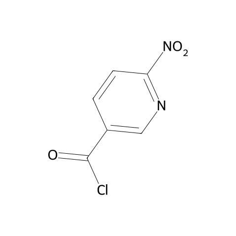 O=C(Cl)c1ccc([N+](=O)[O-])nc1